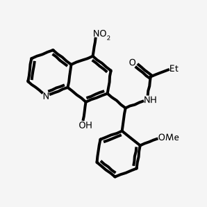 CCC(=O)NC(c1ccccc1OC)c1cc([N+](=O)[O-])c2cccnc2c1O